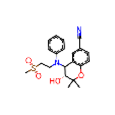 CC1(C)Oc2ccc(C#N)cc2C(N(CCS(C)(=O)=O)c2ccccc2)[C@H]1O